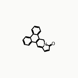 O=C1C=CC2=Cc3c(c4ccccc4c4ccccc34)CN12